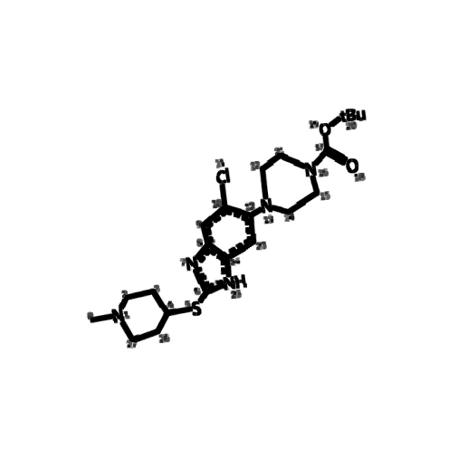 CN1CCC(Sc2nc3cc(Cl)c(N4CCN(C(=O)OC(C)(C)C)CC4)cc3[nH]2)CC1